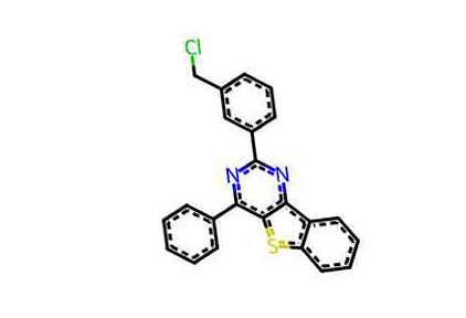 ClCc1cccc(-c2nc(-c3ccccc3)c3sc4ccccc4c3n2)c1